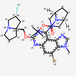 Cn1cnc2c3c(N4C[C@H]5CC[C@@H](C4)N5C(=O)OC(C)(C)C)nc(OC[C@@]45CCCN4C[C@H](F)C5)nc3cc(Br)c21